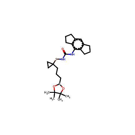 CC1(C)OB(CCCC2(SNC(=O)Nc3c4c(cc5c3CCC5)CCC4)CC2)OC1(C)C